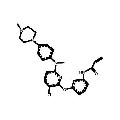 C=CC(=O)Nc1cccc(Oc2nc(N(C)c3ccc(N4CCN(C)CC4)cc3)ccc2Cl)c1